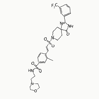 Cc1cc(S(=O)(=O)NCCN2CCOCC2)ccc1/C=C/S(=O)(=O)N1CCC2(CC1)N=C(c1cccc(C(F)(F)F)c1)NC2=O